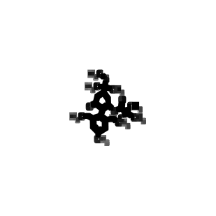 CCc1cc(C)cc(CC)c1C1=C(OC(=O)C(C)(C)C)CC(C(C)(C)SC)CC1=O